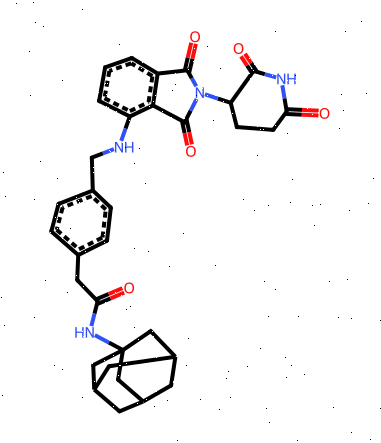 O=C1CCC(N2C(=O)c3cccc(NCc4ccc(CC(=O)NC56CC7CC(CC(C7)C5)C6)cc4)c3C2=O)C(=O)N1